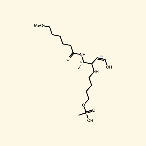 COCCCCCC(=O)N[C@@H](C)C(/C=C\O)NCCCCOP(C)(=O)O